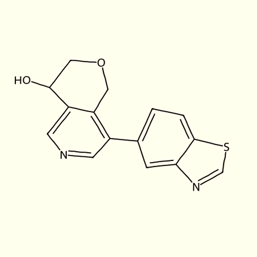 OC1COCc2c(-c3ccc4scnc4c3)cncc21